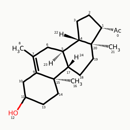 CC(=O)[C@H]1CC[C@H]2[C@@H]3CC(C)=C4CC(O)CC[C@]4(C)[C@H]3CC[C@]12C